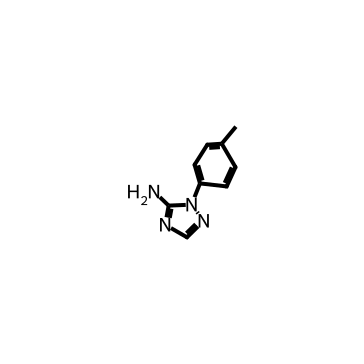 Cc1ccc(-n2ncnc2N)cc1